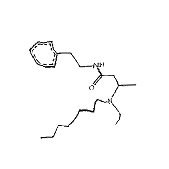 CCCCCCCN(CC)C(C)CC(=O)NCCc1ccccc1